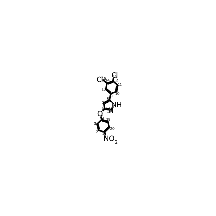 O=[N+]([O-])c1ccc(Oc2cc(-c3ccc(Cl)c(Cl)c3)[nH]n2)cc1